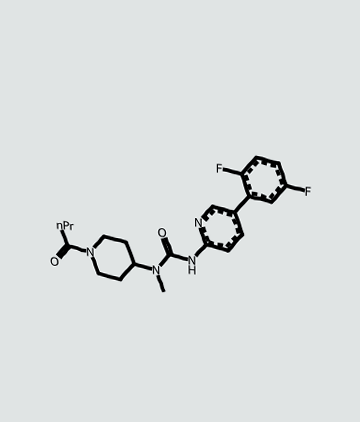 CCCC(=O)N1CCC(N(C)C(=O)Nc2ccc(-c3cc(F)ccc3F)cn2)CC1